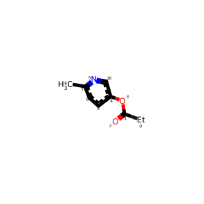 CCC(=O)Oc1ccc(C)nc1